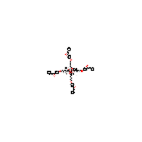 C[Si]1(CCCCCCOc2ccc(C(=O)C=Cc3ccccc3)cc2)O[Si](C)(CCCCCCOc2ccc(C(=O)C=Cc3ccccc3)cc2)O[Si](C)(CCCCCCOc2ccc(C(=O)C=Cc3ccccc3)cc2)O[Si](C)(CCCCCCOc2ccc(C(=O)C=Cc3ccccc3)cc2)O1